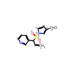 C=CC(c1cccnc1)S(=O)(=O)n1ccc(C=O)c1